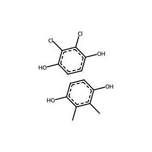 Cc1c(O)ccc(O)c1C.Oc1ccc(O)c(Cl)c1Cl